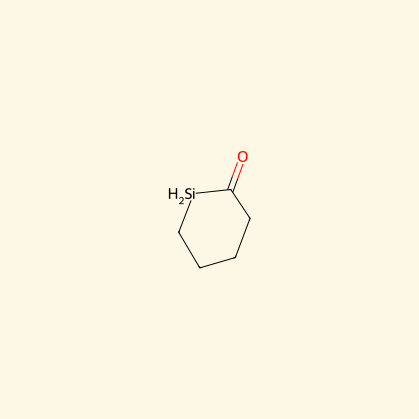 O=C1CCCC[SiH2]1